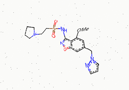 COc1cc(Cn2cccn2)cc2onc(NS(=O)(=O)CCN3CCCC3)c12